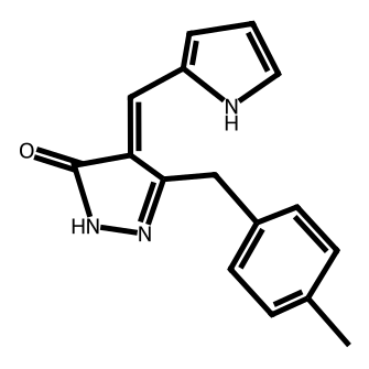 Cc1ccc(CC2=NNC(=O)/C2=C/c2ccc[nH]2)cc1